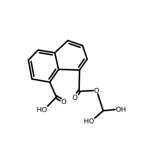 O=C(O)c1cccc2cccc(C(=O)OC(O)O)c12